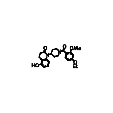 CCOc1ccc(C(=O)N2CCC(N3C(=O)CCc4c(O)cccc43)CC2)c(OC)c1